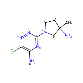 CC1(N)CCN(c2nnc(Cl)c(N)n2)C1